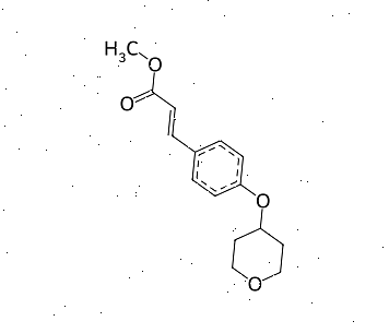 COC(=O)C=Cc1ccc(OC2CCOCC2)cc1